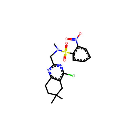 CN(Cc1nc(Cl)c2c(n1)CCC(C)(C)C2)S(=O)(=O)c1ccccc1[N+](=O)[O-]